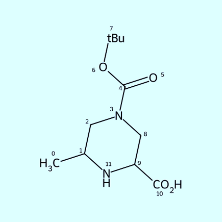 CC1CN(C(=O)OC(C)(C)C)CC(C(=O)O)N1